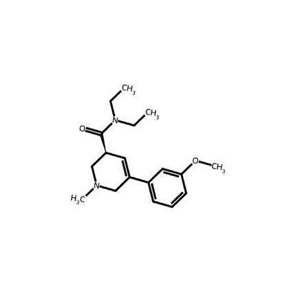 CCN(CC)C(=O)[C@H]1C=C(c2cccc(OC)c2)CN(C)C1